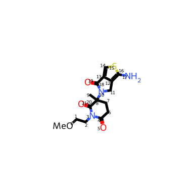 COCCN1C(=O)CCC(C)(N2Cc3c(csc3N)C2=O)C1=O